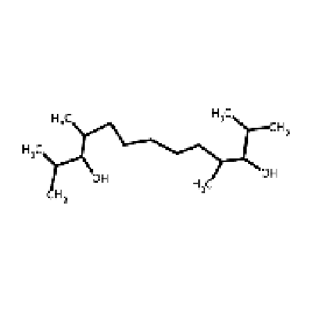 CC(C)C(O)C(C)CCCCCC(C)C(O)C(C)C